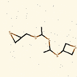 CC(SCC1CS1)SC(C)SC1CSC1